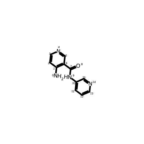 Nc1ccncc1C(=O)Nc1cccnc1